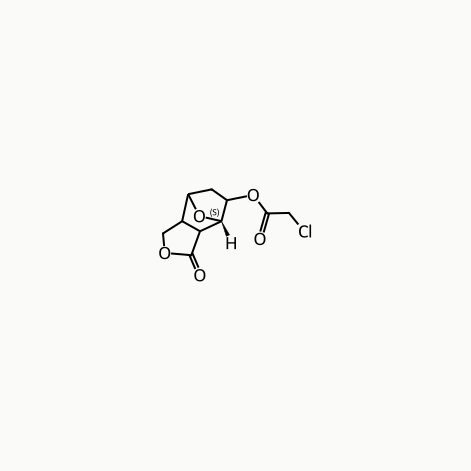 O=C(CCl)OC1CC2O[C@H]1C1C(=O)OCC21